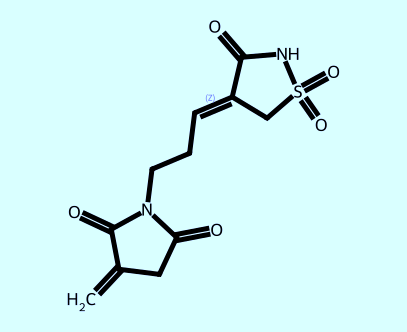 C=C1CC(=O)N(CC/C=C2\CS(=O)(=O)NC2=O)C1=O